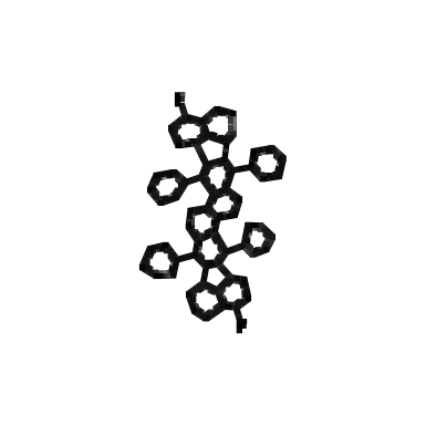 Fc1ccc2c3c(cccc13)-c1c-2c(-c2ccccc2)c2c(ccc3c2ccc2c(-c4ccccc4)c4c(c(-c5ccccc5)c23)-c2ccc(F)c3cccc-4c23)c1-c1ccccc1